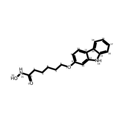 O=C(CCCCCOc1ccc2c(c1)[nH]c1ccccc12)NO